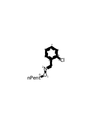 CCCCCO/N=[C]/c1ccccc1Cl